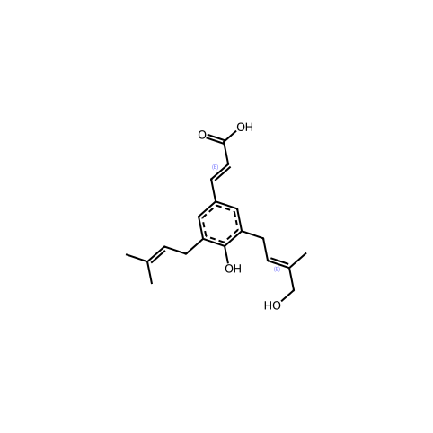 CC(C)=CCc1cc(/C=C/C(=O)O)cc(C/C=C(\C)CO)c1O